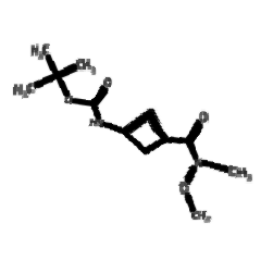 CON(C)C(=O)C1CC(NC(=O)OC(C)(C)C)C1